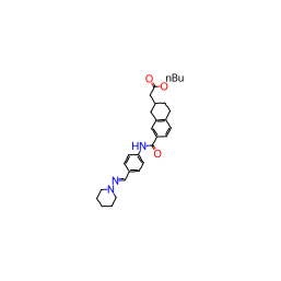 CCCCOC(=O)CC1CCc2ccc(C(=O)Nc3ccc(C=NN4CCCCC4)cc3)cc2C1